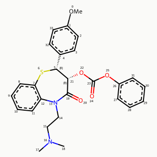 COc1ccc([C@H]2Sc3ccccc3N(CCN(C)C)C(=O)[C@H]2OC(=O)Oc2ccccc2)cc1